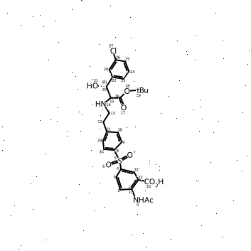 CC(=O)Nc1ccc(S(=O)(=O)c2ccc(CCNC(C(=O)OC(C)(C)C)[C@H](O)c3cccc(Cl)c3)cc2)cc1C(=O)O